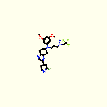 COc1cc(OC)cc(N(CCCNCC(F)(F)F)c2ccc3ncc(-c4ccnc(Cl)c4)nc3c2)c1